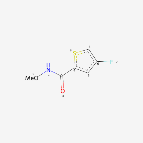 CONC(=O)c1cc(F)cs1